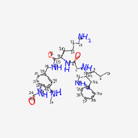 CC/C=C(/NCC(=O)NC(CCCCN)C(=O)NCc1ccc(NC=O)c(NC)c1)C(CN)Cc1ccccc1